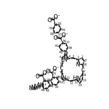 C1=Cc2cc3ccc(cc4nc(cc5ccc(cc1n2)[nH]5)C=C4)[nH]3.O=C([O-])c1ccccc1.O=C([O-])c1ccccc1.O=C([O-])c1ccccc1.O=C([O-])c1ccccc1.[Na+].[Na+].[Na+].[Na+]